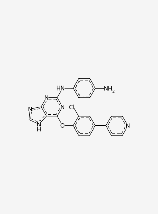 Nc1ccc(Nc2nc(Oc3ccc(-c4ccncc4)cc3Cl)c3[nH]cnc3n2)cc1